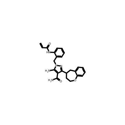 C=CC(=O)Nc1ccccc1Cn1nc(C2CCOc3ccccc3C2)c(C(N)=O)c1N